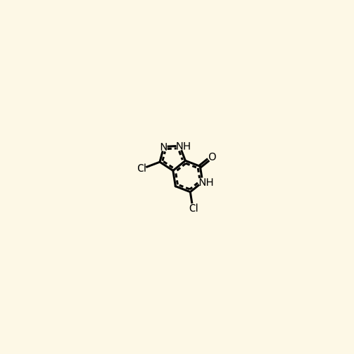 O=c1[nH]c(Cl)cc2c(Cl)n[nH]c12